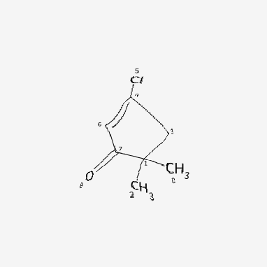 CC1(C)CC(Cl)=CC1=O